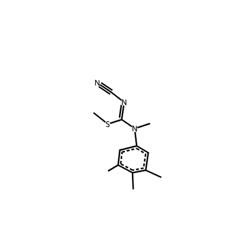 CS/C(=N\C#N)N(C)c1cc(C)c(C)c(C)c1